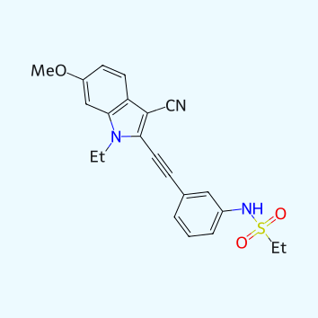 CCn1c(C#Cc2cccc(NS(=O)(=O)CC)c2)c(C#N)c2ccc(OC)cc21